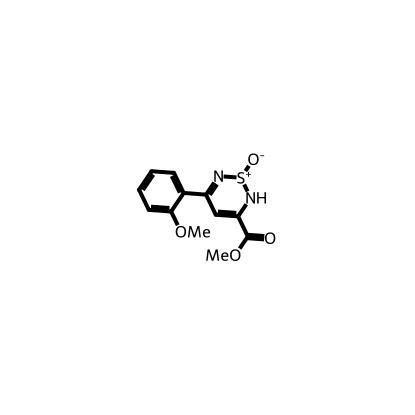 COC(=O)C1=CC(c2ccccc2OC)=N[S+]([O-])N1